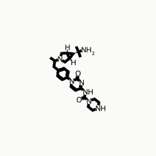 CC(Cc1ccc(-n2ccc(NC(=O)N3CCNCC3)nc2=O)cc1)N1C[C@@H]2[C@H](C1)[C@H]2C(C)(C)N